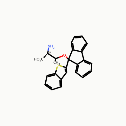 CC(OC1(c2cc3ccccc3s2)c2ccccc2-c2ccccc21)[C@H](N)C(=O)O